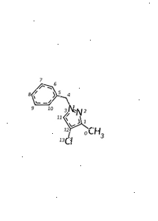 Cc1nn(Cc2ccccc2)cc1Cl